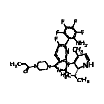 C=CC(=O)N1CCN(c2nc(=O)n(C3=C(C)C=CN[C@@H]3C(C)C)c3nc(-c4c(N)c(F)c(F)c(F)c4F)c(F)cc23)CC1